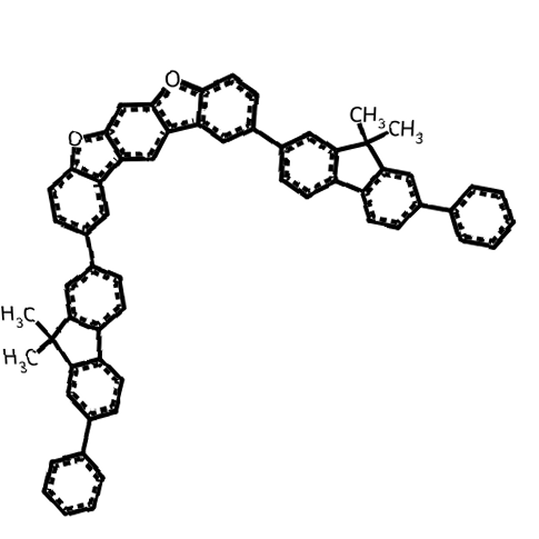 CC1(C)c2cc(-c3ccccc3)ccc2-c2ccc(-c3ccc4oc5cc6oc7ccc(-c8ccc9c(c8)C(C)(C)c8cc(-c%10ccccc%10)ccc8-9)cc7c6cc5c4c3)cc21